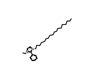 CCCCCCCCCCCCCCCCCC[n+]1ccn(CC)c1-c1ccccc1